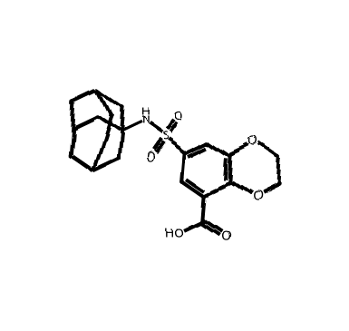 O=C(O)c1cc(S(=O)(=O)NC23CC4CC(CC(C4)C2)C3)cc2c1OCCO2